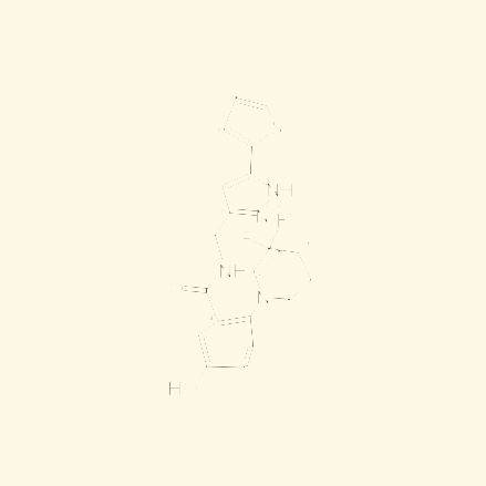 O=C(NCc1cc(-c2cccs2)[nH]n1)c1cc(O)ccc1N1CCCC(F)(F)C1